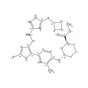 COC(=O)[C@H]1CCC[C@H](Oc2ccc(-c3sc(F)cc3CNc3noc(CC4CCC4)n3)nc2C)C1